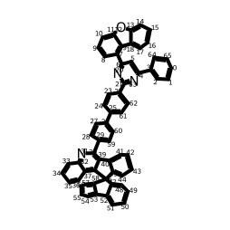 c1ccc(-c2cc(-c3cccc4oc5ccccc5c34)nc(-c3ccc(-c4ccc(-c5nc6ccccc6c6c5-c5ccccc5C65c6ccccc6-c6ccccc65)cc4)cc3)n2)cc1